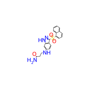 NC(=O)CCNc1ccc2c(S(=O)(=O)c3cccc4ccccc34)n[nH]c2c1